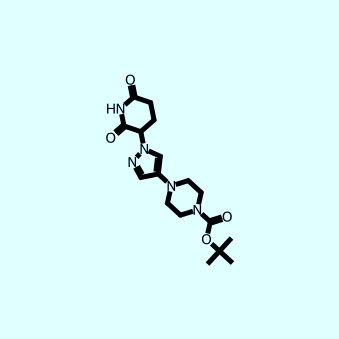 CC(C)(C)OC(=O)N1CCN(c2cnn(C3CCC(=O)NC3=O)c2)CC1